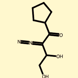 [N-]=[N+]=C(C(=O)C1CCCC1)C(O)CO